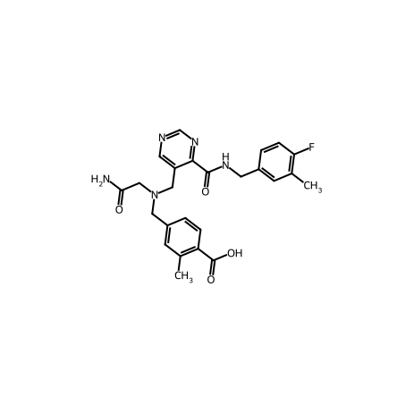 Cc1cc(CNC(=O)c2ncncc2CN(CC(N)=O)Cc2ccc(C(=O)O)c(C)c2)ccc1F